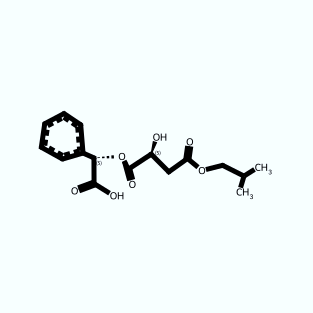 CC(C)COC(=O)C[C@H](O)C(=O)O[C@H](C(=O)O)c1ccccc1